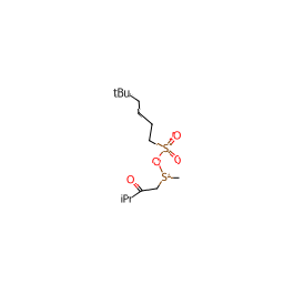 CC(C)C(=O)C[S+](C)OS(=O)(=O)CCCCC(C)(C)C